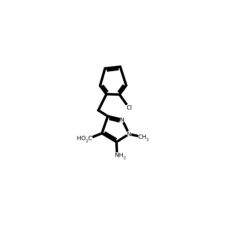 Cn1nc(Cc2ccccc2Cl)c(C(=O)O)c1N